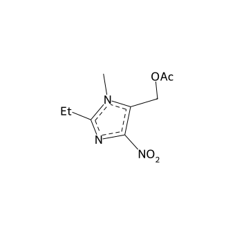 CCc1nc([N+](=O)[O-])c(COC(C)=O)n1C